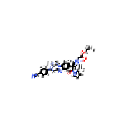 CCOC(=O)CNCC(C)(C(=O)N1CCCC1)c1ccc2c(c1)nc(CNc1ccc(C#N)cc1)n2C